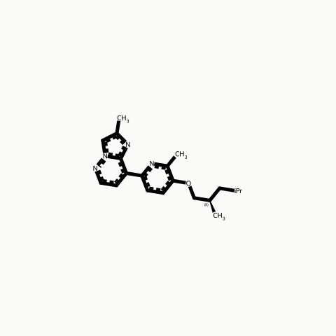 Cc1cn2nccc(-c3ccc(OC[C@H](C)CC(C)C)c(C)n3)c2n1